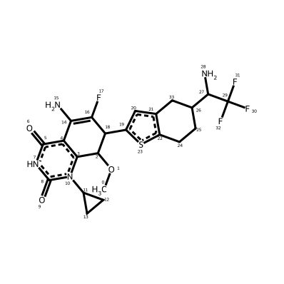 COC1c2c(c(=O)[nH]c(=O)n2C2CC2)C(N)=C(F)C1c1cc2c(s1)CCC(C(N)C(F)(F)F)C2